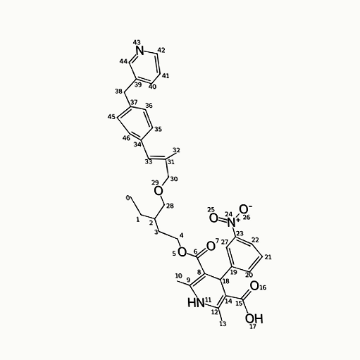 CCC(CCOC(=O)C1=C(C)NC(C)=C(C(=O)O)C1c1cccc([N+](=O)[O-])c1)COCC(C)=Cc1ccc(Cc2cccnc2)cc1